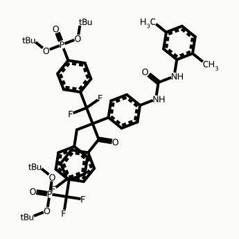 Cc1ccc(C)c(NC(=O)Nc2ccc(C(Cc3ccc(C(F)(F)P(=O)(OC(C)(C)C)OC(C)(C)C)cc3)(C(=O)c3ccc(F)cc3)C(F)(F)c3ccc(P(=O)(OC(C)(C)C)OC(C)(C)C)cc3)cc2)c1